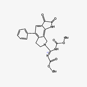 CC(C)(C)OC(=O)/N=C(\NC(=O)OC(C)(C)C)N1CCc2c(-c3ccccc3)cc3c(c2C1)NC(=O)C3=O